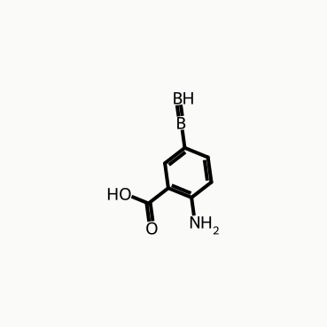 B=Bc1ccc(N)c(C(=O)O)c1